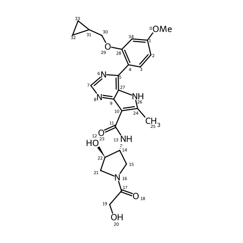 COc1ccc(-c2ncnc3c(C(=O)N[C@@H]4CN(C(=O)CO)C[C@H]4O)c(C)[nH]c23)c(OCC2CC2)c1